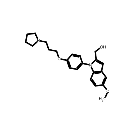 COc1ccc2c(c1)cc(CO)n2-c1ccc(OCCCN2CCCC2)cc1